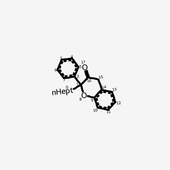 CCCCCCCC1(c2ccccc2)Oc2ccccc2CC1=O